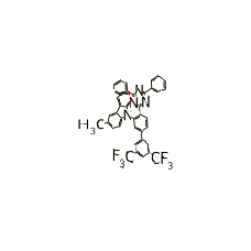 Cc1ccc2c(c1)c1ccccc1n2-c1cc(-c2cc(C(F)(F)F)cc(C(F)(F)F)c2)ccc1-c1nc(-c2ccccc2)nc(-c2ccccc2)n1